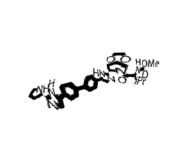 COC(=O)N[C@H](C(=O)N1CC2(C[C@H]1C1=NCC(c3ccc(-c4ccc(-c5cnc([C@@H]6CCCN6)[nH]5)cc4)cc3)N1)OCCO2)C(C)C